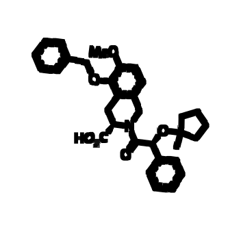 COc1ccc2c(c1OCc1ccccc1)C[C@H](C(=O)O)N(C(=O)[C@@H](OC1(C)CCCC1)c1ccccc1)C2